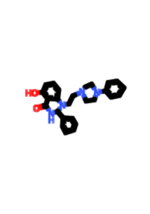 O=C1NC(c2ccccc2)N(CCN2CCN(c3ccccc3)CC2)c2cccc(O)c21